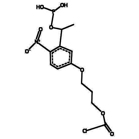 CC(OP(O)O)c1cc(OCCCOC(=O)Cl)ccc1[N+](=O)[O-]